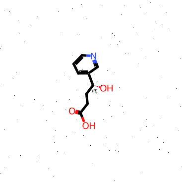 O=C(O)CC[C@@H](O)c1cccnc1